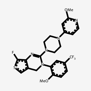 COc1cc(N2CCN(C3=Nc4c(csc4F)CN3c3cc(C(F)(F)F)ccc3OC)CC2)ccn1